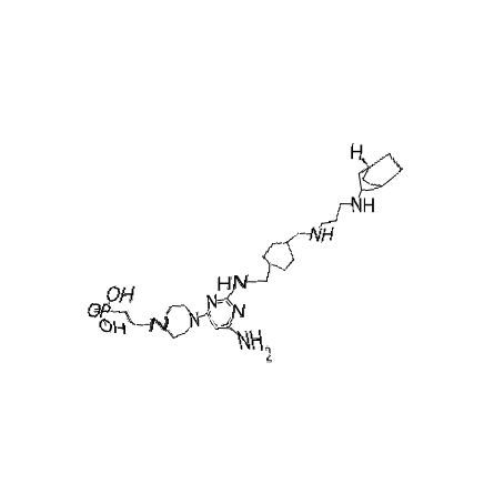 Nc1cc(N2CCN(CCP(=O)(O)O)CC2)nc(NCC2CCC(CNCCCNC3C[C@@H]4CCC3C4)CC2)n1